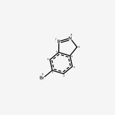 Brc1ccc2c(c1)B=NC2